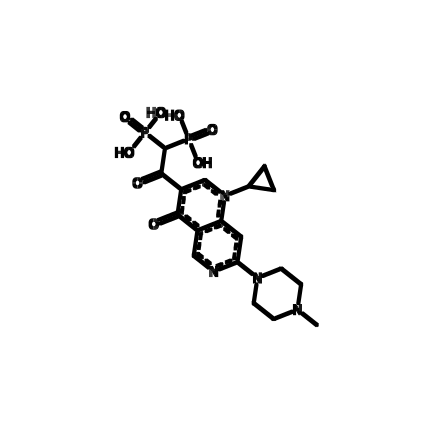 CN1CCN(c2cc3c(cn2)c(=O)c(C(=O)C(P(=O)(O)O)P(=O)(O)O)cn3C2CC2)CC1